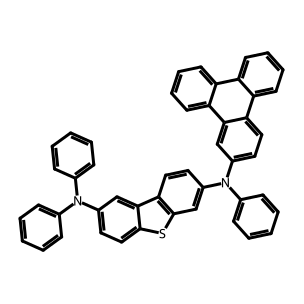 c1ccc(N(c2ccccc2)c2ccc3sc4cc(N(c5ccccc5)c5ccc6c7ccccc7c7ccccc7c6c5)ccc4c3c2)cc1